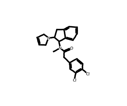 CN(C(=O)Cc1ccc(Cl)c(Cl)c1)C1c2ccccc2CC1N1CC=CC1